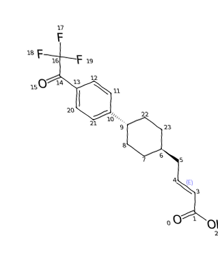 O=C(O)/C=C/C[C@H]1CC[C@H](c2ccc(C(=O)C(F)(F)F)cc2)CC1